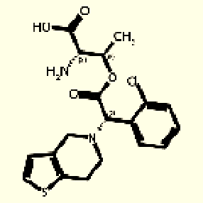 C[C@@H](OC(=O)[C@H](c1ccccc1Cl)N1CCc2sccc2C1)[C@H](N)C(=O)O